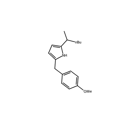 CCCCC(C)c1ccc(Cc2ccc(OC)cc2)[nH]1